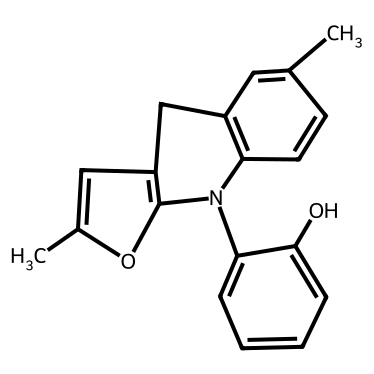 Cc1ccc2c(c1)Cc1cc(C)oc1N2c1ccccc1O